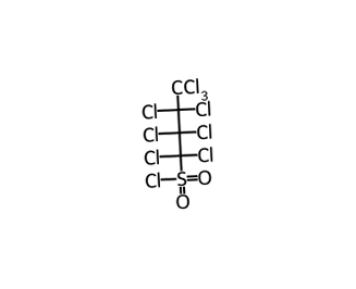 O=S(=O)(Cl)C(Cl)(Cl)C(Cl)(Cl)C(Cl)(Cl)C(Cl)(Cl)Cl